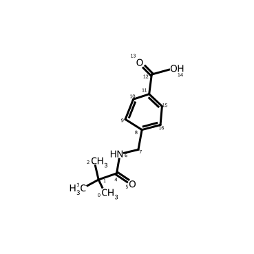 CC(C)(C)C(=O)NCc1ccc(C(=O)O)cc1